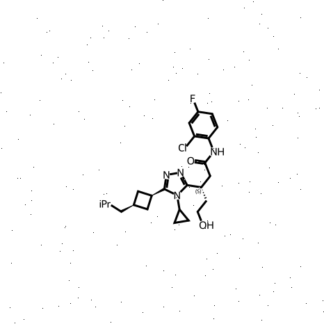 CC(C)C[C@H]1C[C@@H](c2nnc([C@@H](CCO)CC(=O)Nc3ccc(F)cc3Cl)n2C2CC2)C1